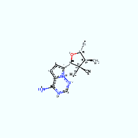 CC[C@H]1O[C@@H](c2ccc3c(N)ncnn23)[C@](C)(C#N)[C@@H]1C